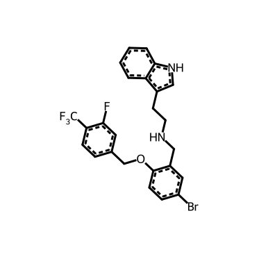 Fc1cc(COc2ccc(Br)cc2CNCCc2c[nH]c3ccccc23)ccc1C(F)(F)F